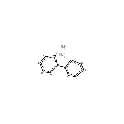 Br.Br.c1ccc(-c2ccccc2)cc1